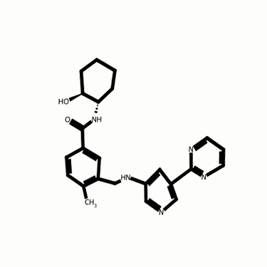 Cc1ccc(C(=O)N[C@H]2CCCC[C@@H]2O)cc1CNc1cncc(-c2ncccn2)c1